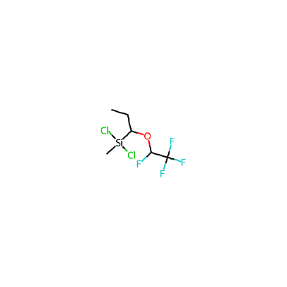 CCC(OC(F)C(F)(F)F)[Si](C)(Cl)Cl